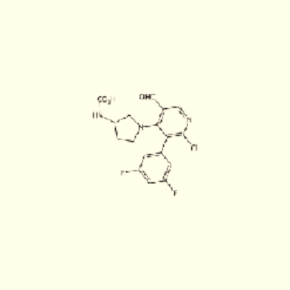 O=Cc1cnc(Cl)c(-c2cc(F)cc(F)c2)c1N1CCC(NC(=O)O)C1